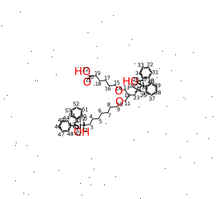 CC(C)(CCCCCCCOCC(COCCCCCC(=O)O)CC(C)(C)[Si](O)(c1ccccc1)c1ccccc1)[Si](O)(c1ccccc1)c1ccccc1